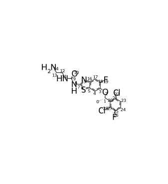 C[C@H](Oc1cc2sc(NC(=O)NCCN)nc2cc1F)c1c(Cl)ccc(F)c1Cl